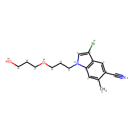 Cc1cc2c(cc1C#N)c(Br)cn2CCCOCCCO